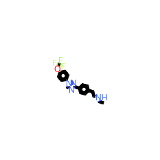 CCNCCc1ccc(-c2ncn(-c3ccc(OC(F)(F)F)cc3)n2)cc1